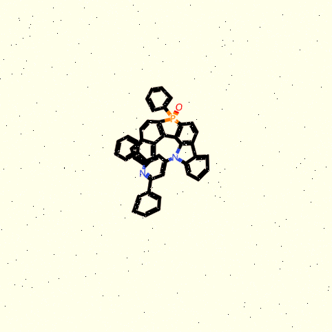 O=P1(c2ccccc2)c2ccc3ccccc3c2-c2c1ccc1c3ccccc3n(-c3cc(-c4ccccc4)nc(-c4ccccc4)c3)c21